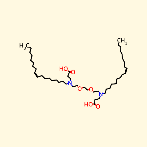 CCCCCCCC/C=C\CCCCCCCCN(CCOCCOCCN(CCCCCCCC/C=C\CCCCCCCC)CCC(=O)O)CCC(=O)O